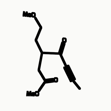 CC#CC(=O)C(CCOC)CC(=O)OC